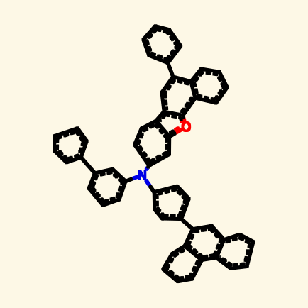 c1ccc(-c2cccc(N(c3ccc(-c4cc5ccccc5c5ccccc45)cc3)c3ccc4c(c3)oc3c5ccccc5c(-c5ccccc5)cc43)c2)cc1